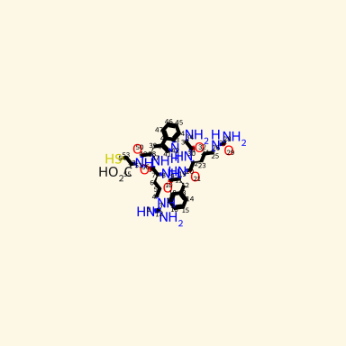 N=C(N)NCCC[C@H](NC(=O)[C@@H](Cc1ccccc1)NC(=O)[C@H](CCCNC(N)=O)NC(=O)CN)C(=O)N[C@@H](Cc1c[nH]c2ccccc12)C(=O)N[C@@H](CS)C(=O)O